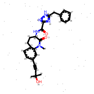 CN1C(=O)[C@H](NC(=O)c2n[nH]c(Cc3ccccc3)n2)CCc2ccc(C#CC(C)(C)O)cc21